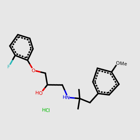 COc1ccc(CC(C)(C)NCC(O)COc2ccccc2F)cc1.Cl